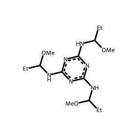 CCC(Nc1nc(NC(CC)OC)nc(NC(CC)OC)n1)OC